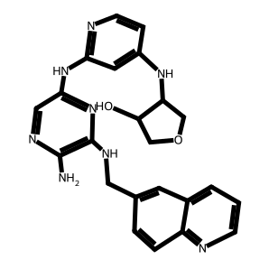 Nc1ncc(Nc2cc(NC3COCC3O)ccn2)nc1NCc1ccc2ncccc2c1